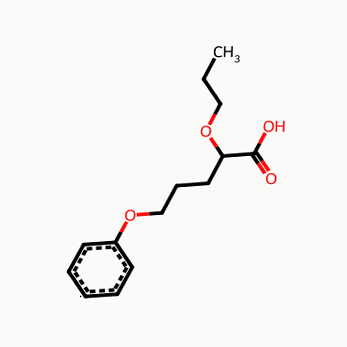 CCCOC(CCCOc1cc[c]cc1)C(=O)O